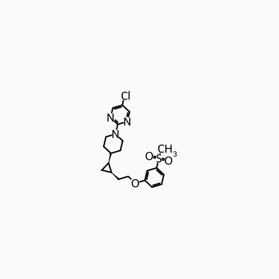 CS(=O)(=O)c1cccc(OCC[C@H]2C[C@H]2C2CCN(c3ncc(Cl)cn3)CC2)c1